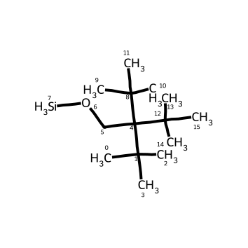 CC(C)(C)C(CO[SiH3])(C(C)(C)C)C(C)(C)C